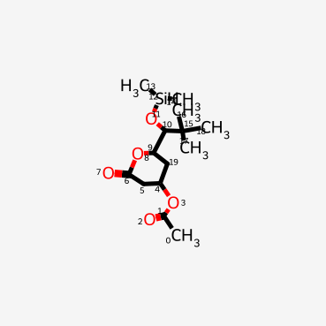 CC(=O)OC1CC(=O)OC(C(O[SiH](C)C)C(C)(C)C)C1